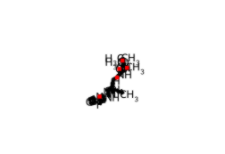 CCCNc1nc(Nc2cnc(N3CCOCC3)c(F)c2)ncc1C#CCCCNC(=O)CN(C)C(=O)OC(C)(C)C